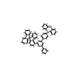 c1ccc(-c2cc(-c3ccc(N4c5ccccc5Oc5ccccc54)cc3)nc(-c3cccc4c3-c3ccccc3C43c4ccccc4-c4ccccc43)n2)cc1